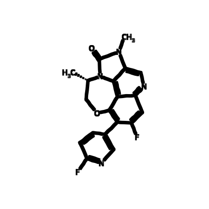 C[C@H]1COc2c(-c3ccc(F)nc3)c(F)cc3ncc4c(c23)n1c(=O)n4C